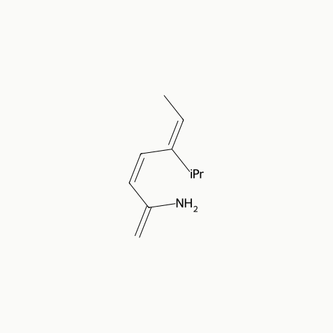 C=C(N)/C=C\C(=C/C)C(C)C